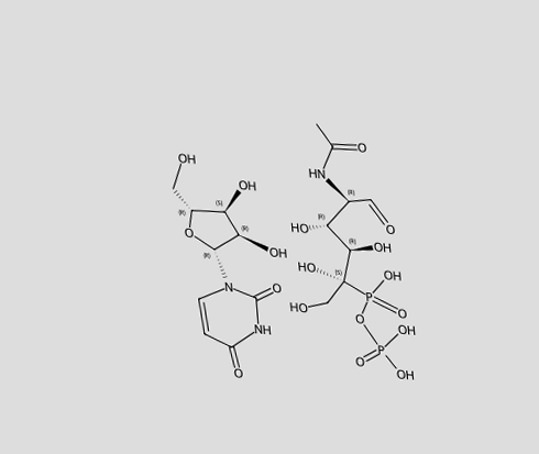 CC(=O)N[C@@H](C=O)[C@@H](O)[C@@H](O)[C@](O)(CO)P(=O)(O)OP(=O)(O)O.O=c1ccn([C@@H]2O[C@H](CO)[C@@H](O)[C@H]2O)c(=O)[nH]1